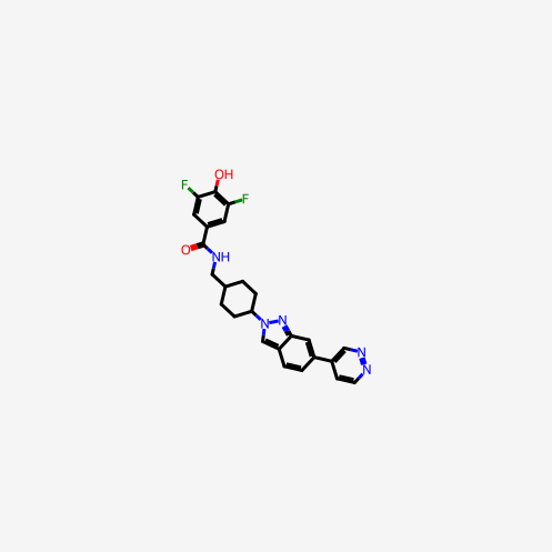 O=C(NCC1CCC(n2cc3ccc(-c4ccnnc4)cc3n2)CC1)c1cc(F)c(O)c(F)c1